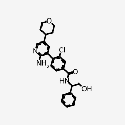 Nc1ncc(C2CCOCC2)cc1-c1ccc(C(=O)NC(CO)c2ccccc2)cc1Cl